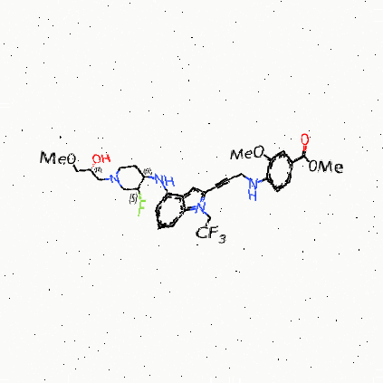 COC[C@H](O)CN1CC[C@@H](Nc2cccc3c2cc(C#CCNc2ccc(C(=O)OC)cc2OC)n3CC(F)(F)F)[C@@H](F)C1